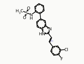 CS(=O)(=O)Nc1ccccc1-c1ccc2[nH]c(/C=C/c3ccc(F)c(Cl)c3)nc2c1